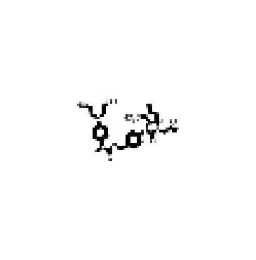 C=CCN(C(=O)Nc1ccc(COC(=O)N(C)c2ccc(N(CCO)CCO)cc2)cc1)[C@@](CC=C)(CCC(=O)O)C(=O)O